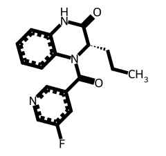 CCC[C@H]1C(=O)Nc2ccccc2N1C(=O)c1cncc(F)c1